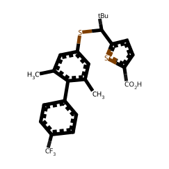 Cc1cc(SC(c2ccc(C(=O)O)s2)C(C)(C)C)cc(C)c1-c1ccc(C(F)(F)F)cc1